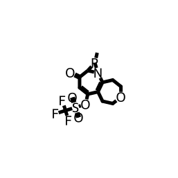 CP1C2C(=O)C=C(OS(=O)(=O)C(F)(F)F)C3=C(CCOCC3)N21